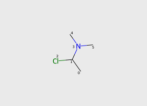 CC(Cl)N(C)C